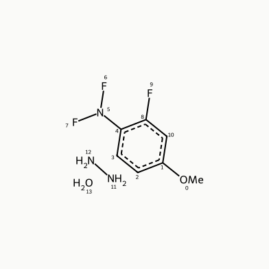 COc1ccc(N(F)F)c(F)c1.NN.O